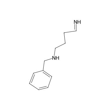 N=CCCCNCc1ccccc1